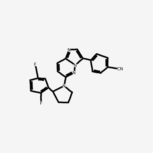 N#Cc1ccc(-c2cnc3ccc(N4CCCC4c4cc(F)ccc4F)nn23)cc1